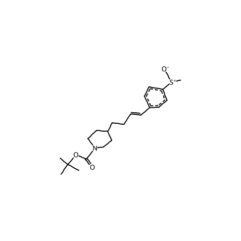 C[S+]([O-])c1ccc(C=CCCC2CCN(C(=O)OC(C)(C)C)CC2)cc1